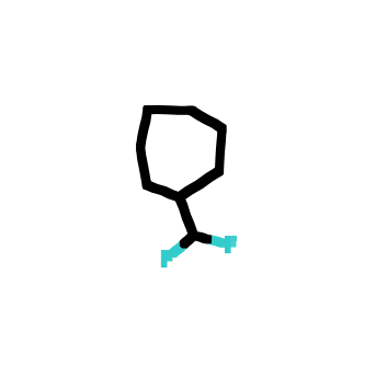 F[C](F)C1CCCCCC1